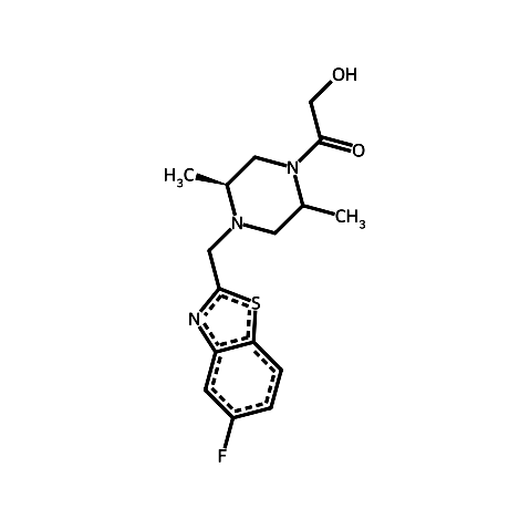 CC1CN(Cc2nc3cc(F)ccc3s2)[C@@H](C)CN1C(=O)CO